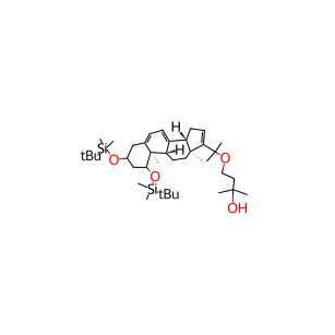 CC(C)(O)CCOC(C)(C)C1=CC[C@H]2C3=CC=C4CC(O[Si](C)(C)C(C)(C)C)CC(O[Si](C)(C)C(C)(C)C)[C@]4(C)[C@H]3CC[C@]12C